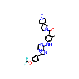 Cc1cc(Nc2nccn3c(-c4ccc(OC(F)F)cc4)cnc23)ccc1C(=O)N1CCC2(CCNCC2)C1